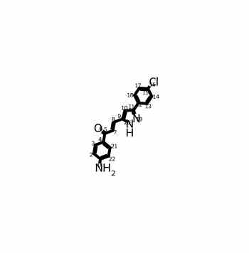 Nc1ccc(C(=O)C=Cc2cc(-c3ccc(Cl)cc3)n[nH]2)cc1